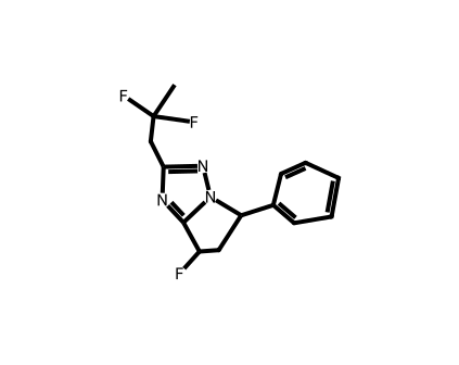 CC(F)(F)Cc1nc2n(n1)C(c1ccccc1)CC2F